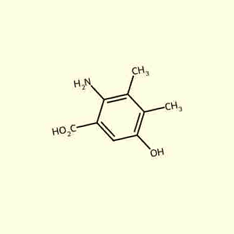 Cc1c(O)cc(C(=O)O)c(N)c1C